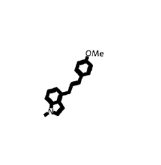 COc1ccc(/C=C/Cc2cccc3c2ccn3C)cc1